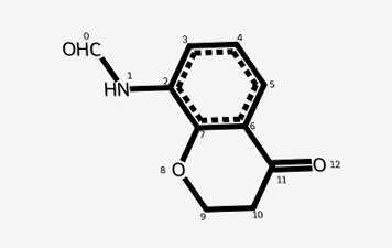 O=CNc1cccc2c1OCCC2=O